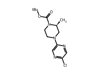 C[C@H]1CN(c2cnc(Cl)cn2)CCN1C(=O)OC(C)(C)C